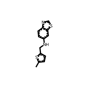 Cc1ccc(CNc2ccc3ncsc3c2)s1